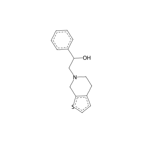 OC(CN1CCc2ccsc2C1)c1ccccc1